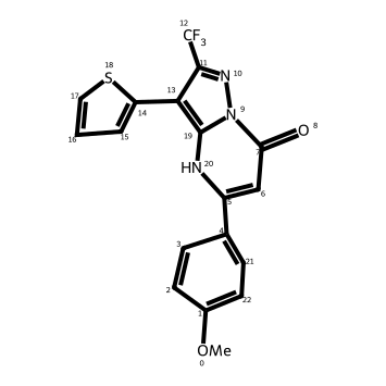 COc1ccc(-c2cc(=O)n3nc(C(F)(F)F)c(-c4cccs4)c3[nH]2)cc1